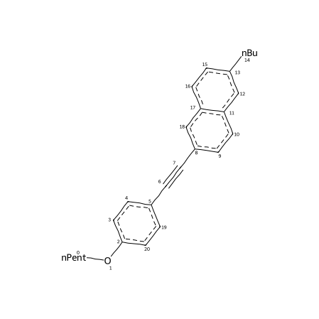 CCCCCOc1ccc(C#Cc2ccc3cc(CCCC)ccc3c2)cc1